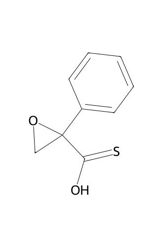 OC(=S)C1(c2ccccc2)CO1